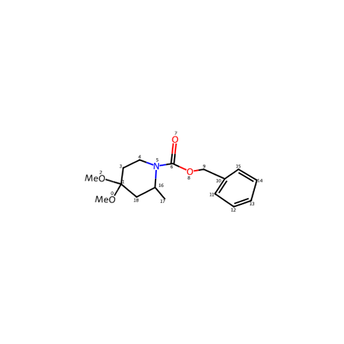 COC1(OC)CCN(C(=O)OCc2ccccc2)C(C)C1